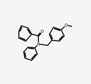 COc1ccc(CN(C(=O)c2ccccc2)c2ccccc2)cc1